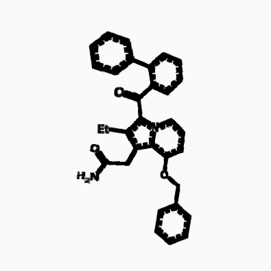 CCc1c(CC(N)=O)c2c(OCc3ccccc3)cccn2c1C(=O)c1ccccc1-c1ccccc1